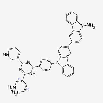 C/C=C\C(=C/N)C1=NC(C2=CC=CNC2)=NC(c2ccc(-n3c4ccccc4c4cc(-c5ccc6c(c5)c5ccccc5n6N)ccc43)cc2)N1